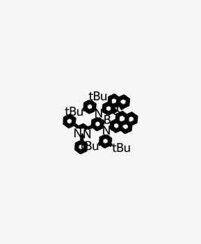 CC(C)(C)c1cc(N2c3cc(-c4cc(-c5ccccc5)nc(-c5ccccc5)n4)cc4c3B(c3c2cc2ccc5cccc6ccc3c2c56)c2c(cc3ccc5cccc6ccc2c3c56)N4c2cc(C(C)(C)C)cc(C(C)(C)C)c2)cc(C(C)(C)C)c1